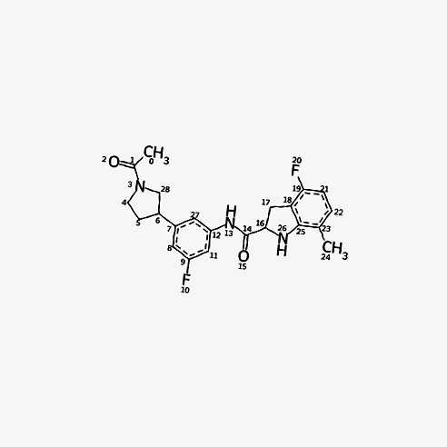 CC(=O)N1CCC(c2cc(F)cc(NC(=O)C3Cc4c(F)ccc(C)c4N3)c2)C1